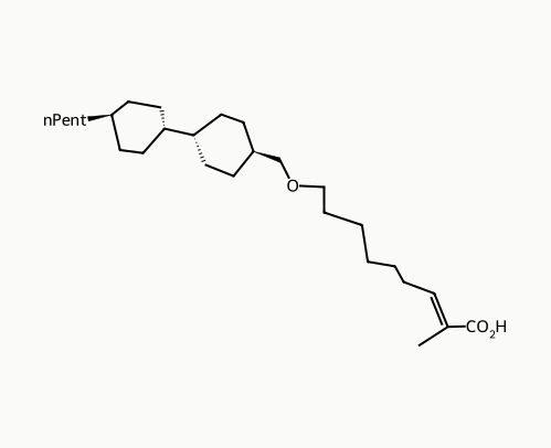 CCCCC[C@H]1CC[C@H]([C@H]2CC[C@H](COCCCCCCC=C(C)C(=O)O)CC2)CC1